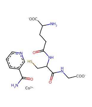 NC(=O)c1cccnc1.NC(CCC(=O)NC(CS)C(=O)NCC(=O)[O-])C(=O)[O-].[Co+2]